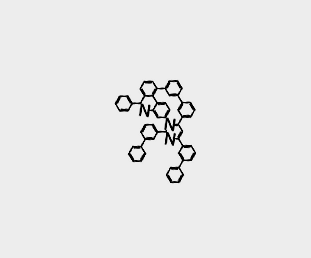 c1ccc(-c2cccc(-c3cc(-c4cccc(-c5cccc(-c6cccc7c(-c8ccccc8)nc8ccccc8c67)c5)c4)nc(-c4cccc(-c5ccccc5)c4)n3)c2)cc1